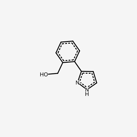 OCc1ccccc1-c1cc[nH]n1